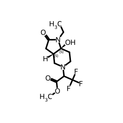 CCN1C(=O)C[C@H]2CN(C(C(=O)OC)C(F)(F)F)CC[C@]21O